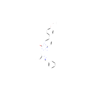 Cc1oc(-c2ccccc2)nc1Cn1nc2ccc(-c3ccc(OC(F)(F)F)cc3)cn2c1=O